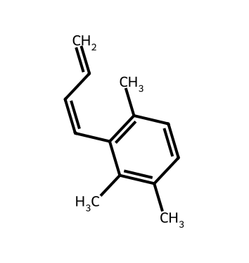 C=C/C=C\c1c(C)ccc(C)c1C